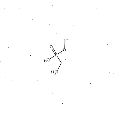 CC(C)OP(=O)(O)CN